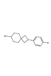 CC(=O)C1CCC2(CC1)CC(c1ccc(F)cc1)C2